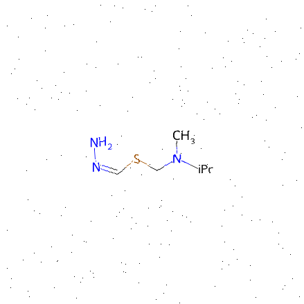 CC(C)N(C)CS/C=N\N